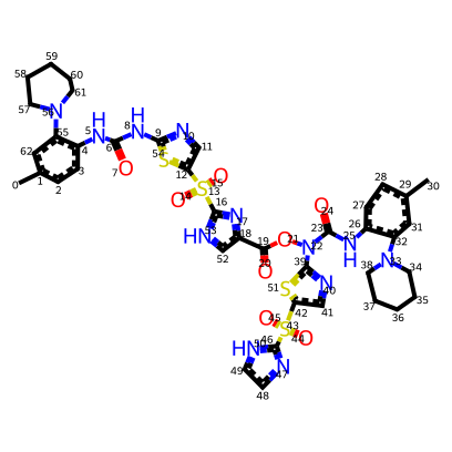 Cc1ccc(NC(=O)Nc2ncc(S(=O)(=O)c3nc(C(=O)ON(C(=O)Nc4ccc(C)cc4N4CCCCC4)c4ncc(S(=O)(=O)c5ncc[nH]5)s4)c[nH]3)s2)c(N2CCCCC2)c1